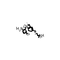 COc1ccc(N)c(C(=O)N2c3ccc(CSCCC(C)(C)S)cc3C[C@H]2C)c1